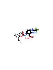 CC(C)(C)OC(=O)Nc1ccc2nc(C(F)(F)F)[nH]c2c1C(=O)O